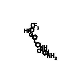 Nc1ccc(C(=O)NC2CCC(=Cc3cccc(OC4C=CC(C(F)(F)F)=CN4)c3)CC2)cn1